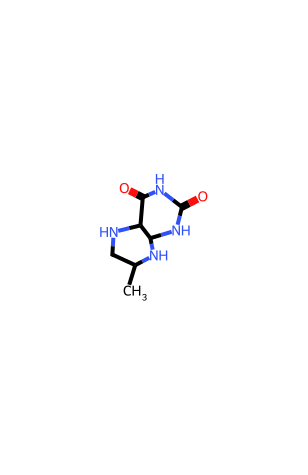 CC1CNC2C(=O)NC(=O)NC2N1